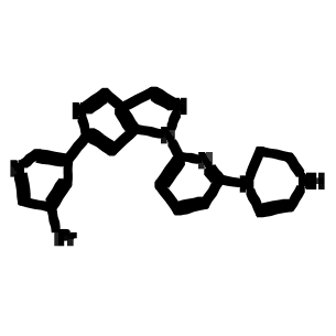 CC(C)c1cncc(-c2cc3c(cn2)cnn3-c2cccc(N3C=CNCC3)n2)c1